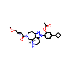 COC/C=C/C(=O)N1CCc2nn(-c3ccc(C4CCC4)cc3OC(C)=O)c3c2[C@H](C1)NCC3